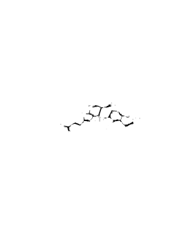 Cc1c(Nc2c(C#N)cnc3sc(C=CC(N)=O)cc23)ccc2[nH]ccc12